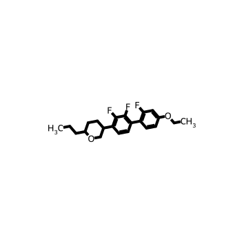 CCCC1CCC(c2ccc(-c3ccc(OCC)cc3F)c(F)c2F)CO1